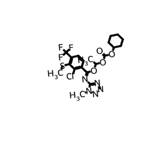 CSc1c(C(F)(F)F)ccc(C(=Nc2nnnn2C)OC(C)OC(=O)OC2CCCCC2)c1Cl